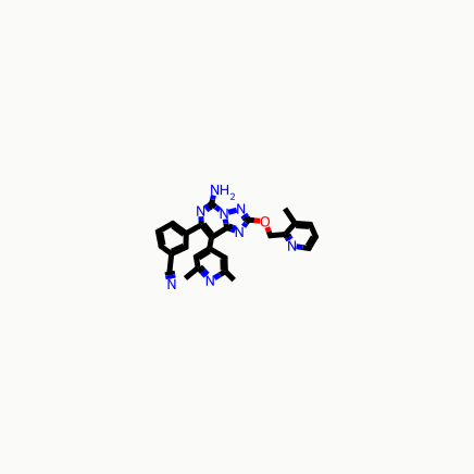 Cc1cc(-c2c(-c3cccc(C#N)c3)nc(N)n3nc(OCc4ncccc4C)nc23)cc(C)n1